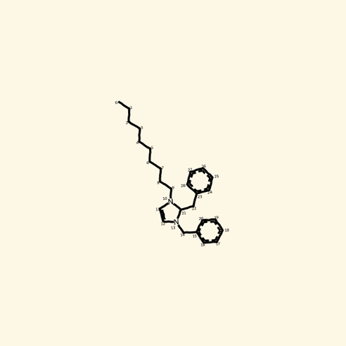 CCCCCCCCCCN1C=CN(Cc2ccccc2)C1Cc1ccccc1